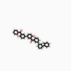 O=c1c2ccccc2oc2ccc(-c3ccc4oc5ccc(-c6cccc7c6sc6ccccc67)cc5c(=O)c4c3)cc12